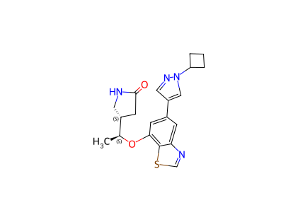 C[C@H](Oc1cc(-c2cnn(C3CCC3)c2)cc2ncsc12)[C@@H]1CNC(=O)C1